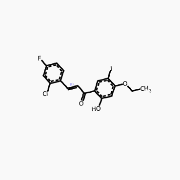 CCOc1cc(O)c(C(=O)/C=C/c2ccc(F)cc2Cl)cc1I